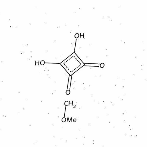 COC.O=c1c(O)c(O)c1=O